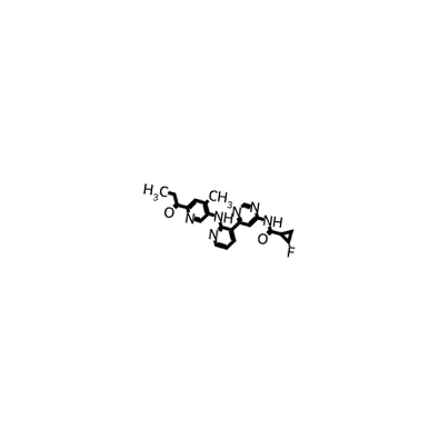 CCC(=O)c1cc(C)c(Nc2ncccc2-c2cc(NC(=O)C3C[C@@H]3F)ncn2)cn1